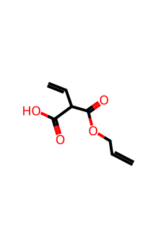 C=CCOC(=O)C(C=C)C(=O)O